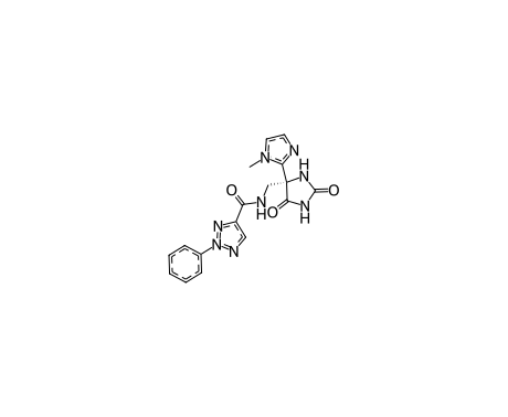 Cn1ccnc1[C@@]1(CNC(=O)c2cnn(-c3ccccc3)n2)NC(=O)NC1=O